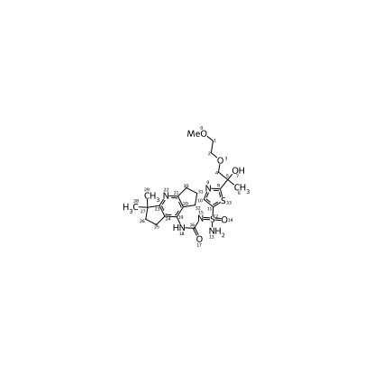 COCCOCC(C)(O)c1ncc(S(N)(=O)=NC(=O)Nc2c3c(nc4c2CCC4(C)C)CCC3)s1